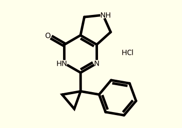 Cl.O=c1[nH]c(C2(c3ccccc3)CC2)nc2c1CNC2